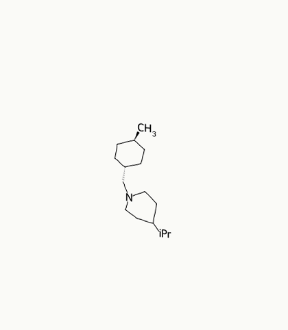 CC(C)C1CCN(C[C@H]2CC[C@H](C)CC2)CC1